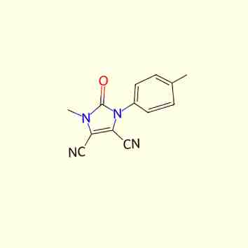 Cc1ccc(-n2c(C#N)c(C#N)n(C)c2=O)cc1